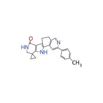 Cc1ccc(-c2cc3c(cn2)CCc2c-3[nH]c3c2C(=O)NCC32CC2)cc1